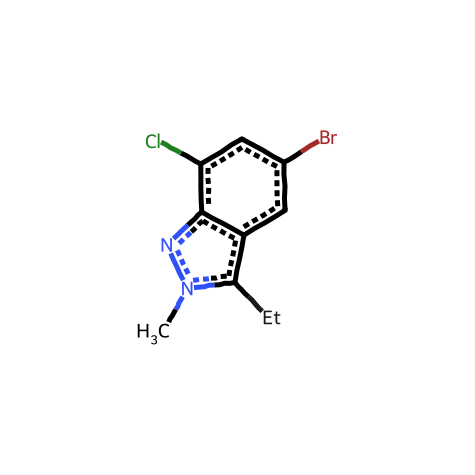 CCc1c2cc(Br)cc(Cl)c2nn1C